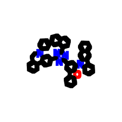 c1ccc(N2CCc3ccccc3-c3ccc(-c4nc(-c5cc(-n6c7ccccc7c7cc8ccccc8cc76)c6oc7ccccc7c6c5)nc(-c5cccc6ccccc56)n4)cc32)cc1